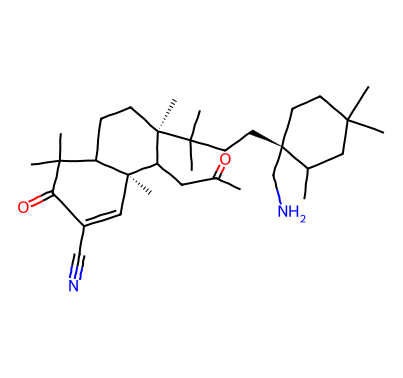 CC(=O)CC1[C@@]2(C)C=C(C#N)C(=O)C(C)(C)C2CC[C@@]1(C)C(C)(C)CC[C@@]1(CN)CCC(C)(C)CC1C